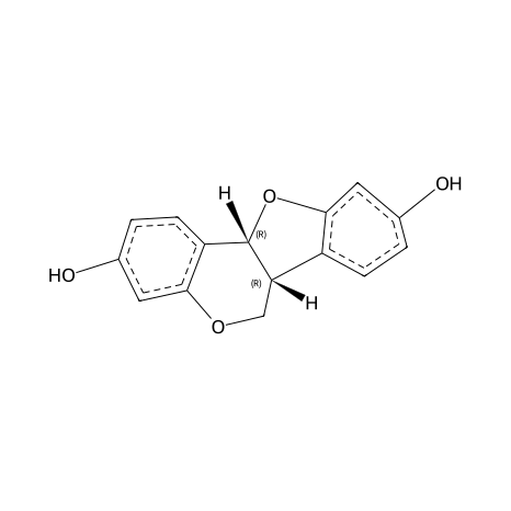 Oc1ccc2c(c1)O[C@H]1c3ccc(O)cc3OC[C@@H]21